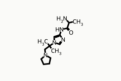 CC(N)C(=O)Nc1cn(C(C)(C)CN2CCCC2)cn1